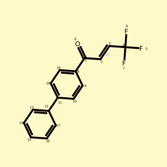 O=C(/C=C/C(F)(F)F)c1ccc(-c2ccccc2)cc1